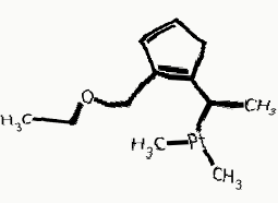 CCOCC1=C([CH](C)[Pt]([CH3])[CH3])CC=C1